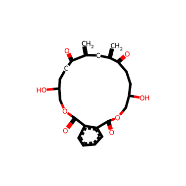 C=C1CC(=C)C(=O)CCC(O)COC(=O)c2ccccc2C(=O)OCC(O)CCC1=O